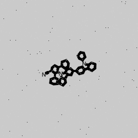 N#Cc1ccc(-c2ccccc2)c(-n2c3ccccc3c3cc(-c4ccc5c6ccccc6n(-c6ccccc6)c5c4)ccc32)c1-c1ccccc1